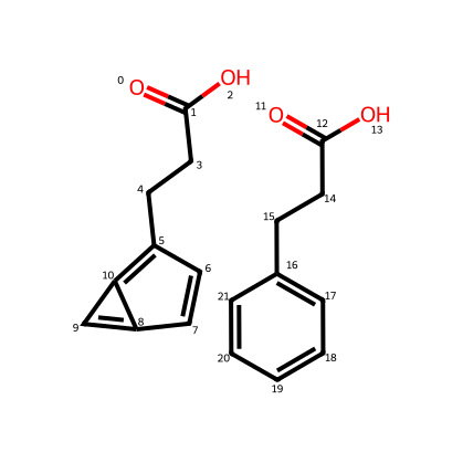 O=C(O)CCc1ccc2cc1-2.O=C(O)CCc1ccccc1